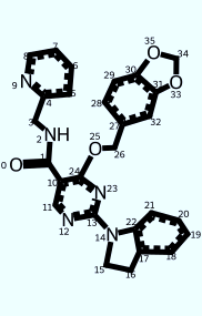 O=C(NCc1ccccn1)c1cnc(N2CCc3ccccc32)nc1OCc1ccc2c(c1)OCO2